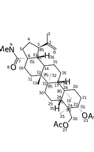 C=C(C)[C@@H]1CC[C@]2(C(=O)NC)CC[C@]3(C)C(CC[C@@H]4[C@@]5(C)CC[C@H](OC(C)=O)[C@@](C)(COC(C)=O)[C@@H]5CC[C@]43C)[C@@H]12